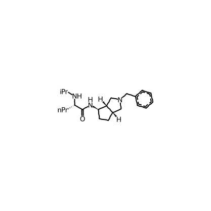 CCC[C@H](NC(C)C)C(=O)N[C@@H]1CC[C@H]2CN(Cc3ccccc3)C[C@H]21